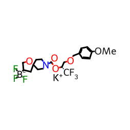 COc1ccc(COC[C@@H](OC(=O)N2CCC3(CC2)CC([B-](F)(F)F)CO3)C(F)(F)F)cc1.[K+]